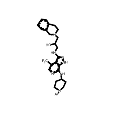 CC(=O)N1CCC(Nc2ncc(C(F)(F)F)c3c(NCC(O)CN4CCc5ccccc5C4)n[nH]c23)CC1